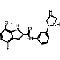 Cc1ccc(F)c2c1NC(C(=O)Nc1cccc(N3CNCN3)c1)C2